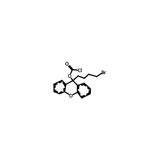 O=C(Cl)OC1(CCCCBr)c2ccccc2Oc2ccccc21